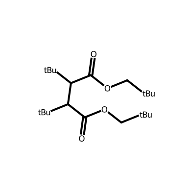 CC(C)(C)COC(=O)C(C(C(=O)OCC(C)(C)C)C(C)(C)C)C(C)(C)C